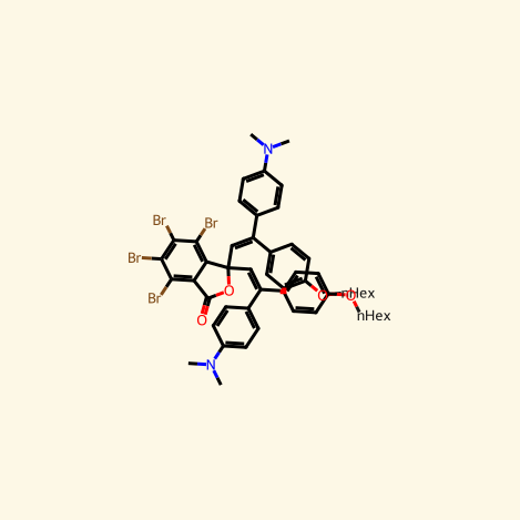 CCCCCCOc1ccc(C(=CC2(C=C(c3ccc(OCCCCCC)cc3)c3ccc(N(C)C)cc3)OC(=O)c3c(Br)c(Br)c(Br)c(Br)c32)c2ccc(N(C)C)cc2)cc1